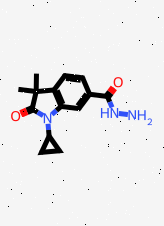 CC1(C)C(=O)N(C2CC2)c2cc(C(=O)NN)ccc21